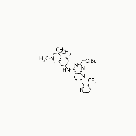 CC(C)COCc1nc(Nc2ccc3c(c2)CN(C)CC3(C)C)c2ccc(-c3ncccc3C(F)(F)F)nc2n1